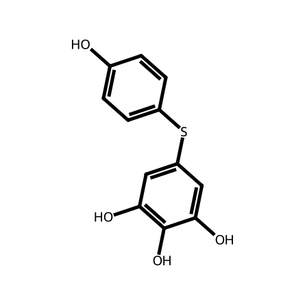 Oc1ccc(Sc2cc(O)c(O)c(O)c2)cc1